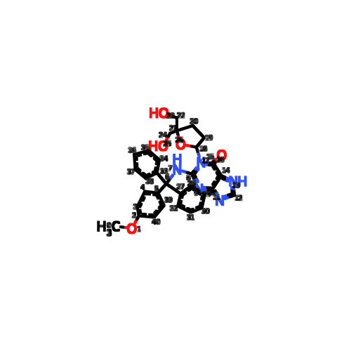 COc1ccc(C(Nc2nc3nc[nH]c3c(=O)n2C2CCC(CO)(CO)O2)(c2ccccc2)c2ccccc2)cc1